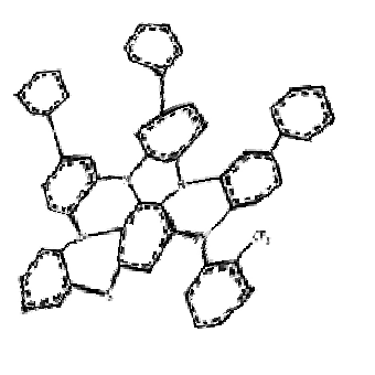 FC(F)(F)c1ccccc1N1c2ccc(-c3ccccc3)cc2B2c3ccc(-c4ccccc4)cc3N3c4cc(-c5ccccc5)ccc4B4c5ccccc5Sc5cc1c2c3c54